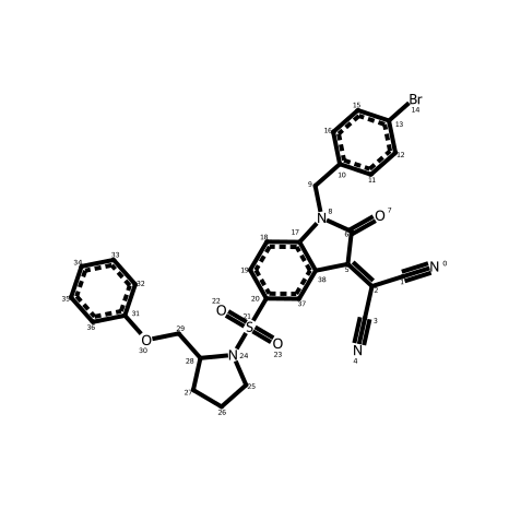 N#CC(C#N)=C1C(=O)N(Cc2ccc(Br)cc2)c2ccc(S(=O)(=O)N3CCCC3COc3ccccc3)cc21